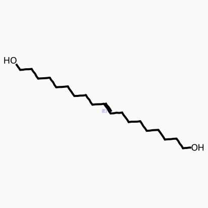 OCCCCCCCC/C=C/CCCCCCCCCO